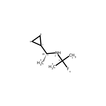 C[C@@H](NC(C)(C)F)C1CC1